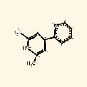 CC1=CC(c2ccccn2)C=C(C)N1